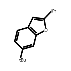 CC(C)c1cc2ccc(C(C)(C)C)cc2o1